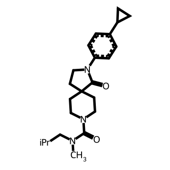 CC(C)CN(C)C(=O)N1CCC2(CC1)CCN(c1ccc(C3CC3)cc1)C2=O